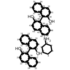 NC1CCCCC1.Oc1ccc2ccccc2c1-c1c(O)ccc2ccccc12.Oc1ccc2ccccc2c1-c1c(O)ccc2ccccc12